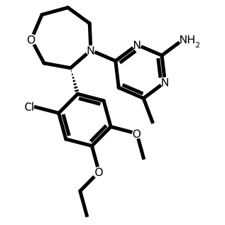 CCOc1cc(Cl)c([C@@H]2COCCCN2c2cc(C)nc(N)n2)cc1OC